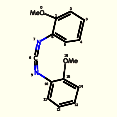 COc1ccccc1N=C=Nc1ccccc1OC